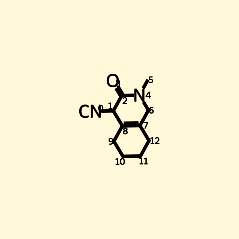 [C-]#[N+]C1C(=O)N(C)CC2=C1CCCC2